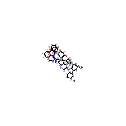 N#Cc1ccc2c(c1)c1cc(C#N)ccc1n2-c1cnc2c(c1)C1(c3ccccc3Oc3ccc(N4c5ccccc5Oc5ccccc54)cc31)c1cc(-n3c4ccccc4c4ccccc43)cnc1-2